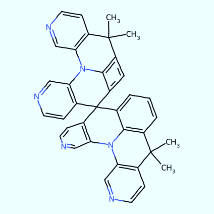 CC1(C)c2ccncc2N2c3cnccc3C3(c4ccncc4N4c5cnccc5C(C)(C)c5cccc3c54)c3cccc1c32